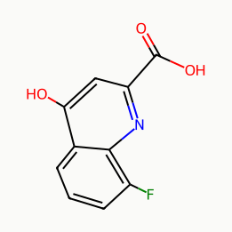 O=C(O)c1cc(O)c2cccc(F)c2n1